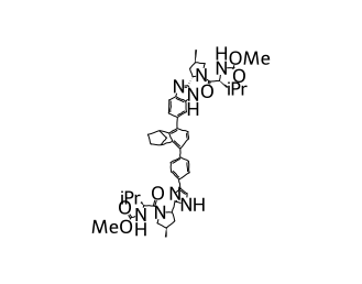 COC(=O)N[C@H](C(=O)N1C[C@H](C)CC1c1nc(-c2ccc(-c3ccc(-c4ccc5nc([C@@H]6C[C@@H](C)CN6C(=O)[C@@H](NC(=O)OC)C(C)C)[nH]c5c4)c4c3C3CCC4C3)cc2)c[nH]1)C(C)C